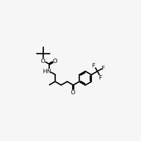 CC(CCC(=O)c1ccc(C(F)(F)F)cc1)CNC(=O)OC(C)(C)C